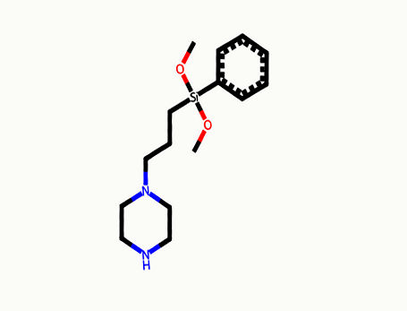 CO[Si](CCCN1CCNCC1)(OC)c1ccccc1